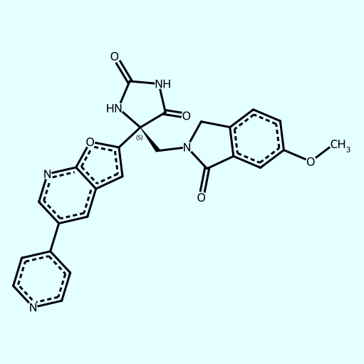 COc1ccc2c(c1)C(=O)N(C[C@@]1(c3cc4cc(-c5ccncc5)cnc4o3)NC(=O)NC1=O)C2